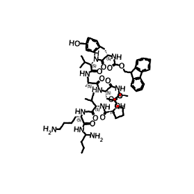 CCCC(N)NC(=O)[C@H](CCCCN)NC(=O)[C@@H](NC(=O)[C@@H]1CCCN1C(=O)[C@H](C)NC(=O)[C@H](CC(=O)O)NC(=O)[C@H](C)NC(=O)[C@@H](NC(=O)[C@H](Cc1ccc(O)cc1)NC(=O)OCC1c2ccccc2-c2ccccc21)C(C)C)C(C)C